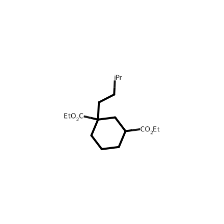 CCOC(=O)C1CCCC(CCC(C)C)(C(=O)OCC)C1